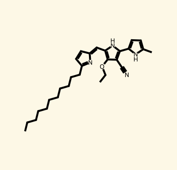 CCCCCCCCCCCC1=NC(=Cc2[nH]c(-c3ccc(C)[nH]3)c(C#N)c2OCC)C=C1